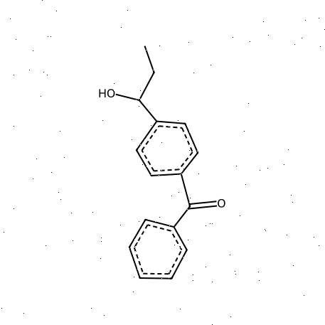 CCC(O)c1ccc(C(=O)c2ccccc2)cc1